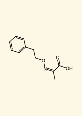 CC(=NOCCc1ccccc1)C(=O)O